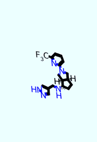 FC(F)(F)c1cccc(N2C[C@H]3CC[C@H](NCc4cn[nH]c4)[C@H]3C2)n1